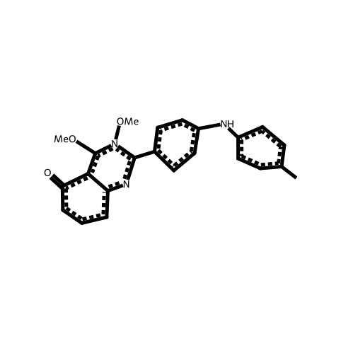 COc1c2c(=O)cccc-2nc(-c2ccc(Nc3ccc(C)cc3)cc2)n1OC